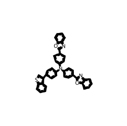 c1ccc2oc(-c3ccc(N(c4ccc(-c5nc6ccccc6o5)cc4)c4ccc(-c5csc6ccccc56)cc4)cc3)nc2c1